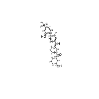 Cc1cc(N[C@@H]2CCCN(C(=O)C3CCCC(O)C3)C2)nnc1-c1ccc(C(C)(F)F)cc1O